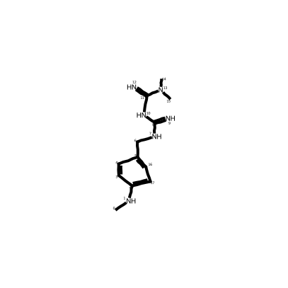 CNc1ccc(CNC(=N)NC(=N)N(C)C)cc1